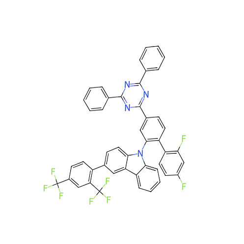 Fc1ccc(-c2ccc(-c3nc(-c4ccccc4)nc(-c4ccccc4)n3)cc2-n2c3ccccc3c3cc(-c4ccc(C(F)(F)F)cc4C(F)(F)F)ccc32)c(F)c1